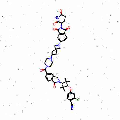 CC1(C)[C@H](Oc2ccc(C#N)c(Cl)c2)C(C)(C)[C@H]1N1Cc2cc(C(=O)N3CCN(C4CC5(C4)CN(c4ccc6c(c4)C(=O)N(C4CCC(=O)NC4=O)C6=O)C5)CC3)ccc2C1=O